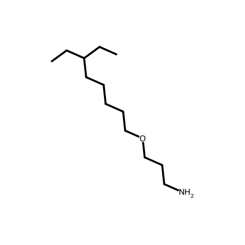 CCC(CC)CCCCCOCCCN